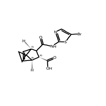 O=C(Nc1ncc(Br)s1)C1[C@H](C(=O)O)[C@H]2C=C[C@@H]1C21CC1